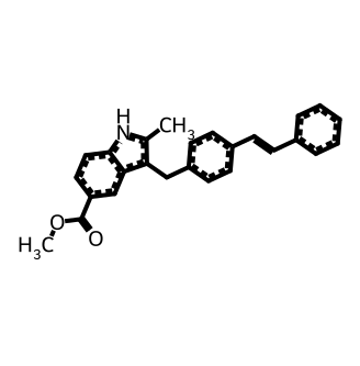 COC(=O)c1ccc2[nH]c(C)c(Cc3ccc(C=Cc4ccccc4)cc3)c2c1